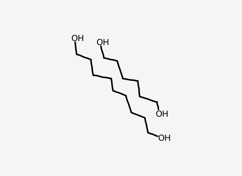 OCCCCCCCCCO.OCCCCCCO